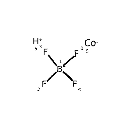 F[B-](F)(F)F.[Co].[H+]